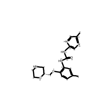 Cc1ccc(OC[C@H]2CNCCO2)c(NC(=O)Nc2cnc(C)cn2)c1